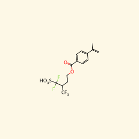 C=C(C)c1ccc(C(=O)OCCC(C(F)(F)F)C(F)(F)S(=O)(=O)O)cc1